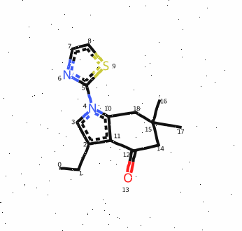 CCc1cn(-c2nccs2)c2c1C(=O)CC(C)(C)C2